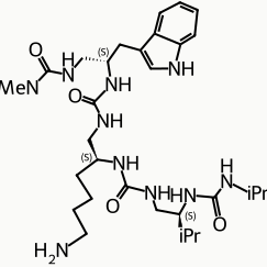 CNC(=O)NC[C@H](Cc1c[nH]c2ccccc12)NC(=O)NC[C@H](CCCCN)NC(=O)NC[C@@H](NC(=O)NC(C)C)C(C)C